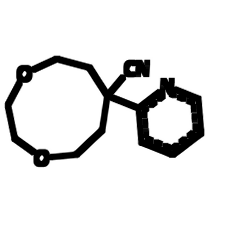 N#CC1(c2ccccn2)CCOCCOCC1